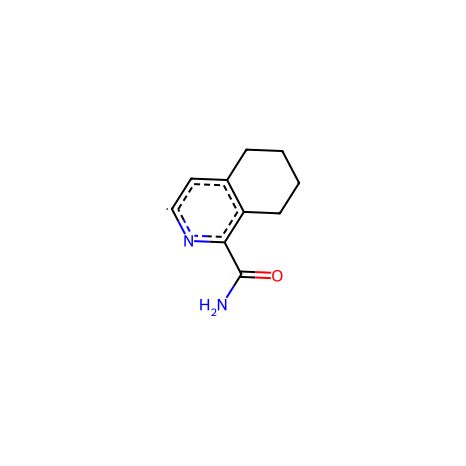 NC(=O)c1n[c]cc2c1CCCC2